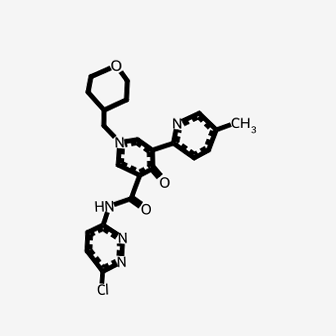 Cc1ccc(-c2cn(CC3CCOCC3)cc(C(=O)Nc3ccc(Cl)nn3)c2=O)nc1